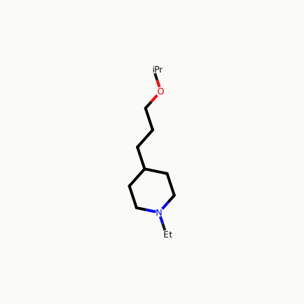 CCN1CCC(CCCOC(C)C)CC1